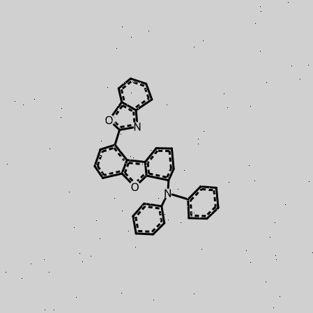 c1ccc(N(c2ccccc2)c2cccc3c2oc2cccc(-c4nc5ccccc5o4)c23)cc1